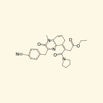 CCOC(=O)CC(C(=O)N1CCCC1)=C1CC=Cc2c1nc(Cc1ccc(C#N)cc1)c(=O)n2C